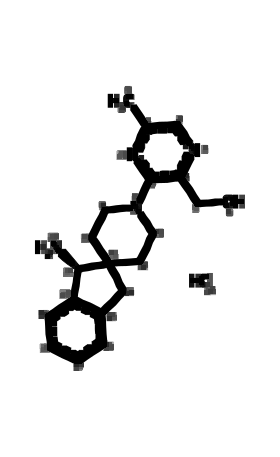 Cc1cnc(CO)c(N2CCC3(CC2)Cc2ccccc2[C@H]3N)n1.Cl